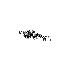 CNC(C(=O)NC(C(=O)N(C)C(C=C(C)C(=O)NS(=O)(=O)Cc1ccc(CNC(=O)C(F)(F)F)cc1)C(C)C)C(C)(C)C)C(C)(C)c1ccccc1